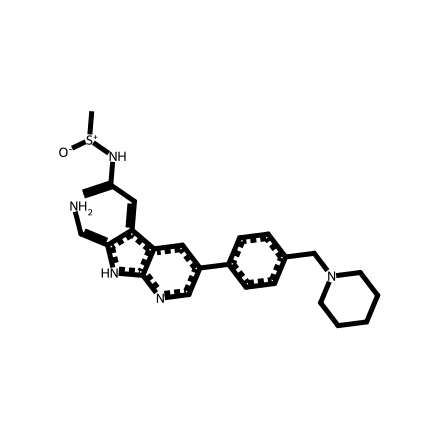 C=C(/C=c1\c(=C/N)[nH]c2ncc(-c3ccc(CN4CCCCC4)cc3)cc12)N[S+](C)[O-]